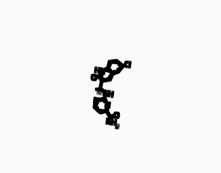 C[C@H](Nc1nccc(C(N)=O)n1)c1cc2cc(Cl)ccc2[nH]c1=O